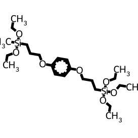 CCO[Si](C)(CCCOc1ccc(OCCC[Si](OCC)(OCC)OCC)cc1)OCC